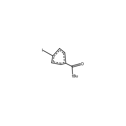 CC(C)(C)C(=O)c1ccc(I)cc1